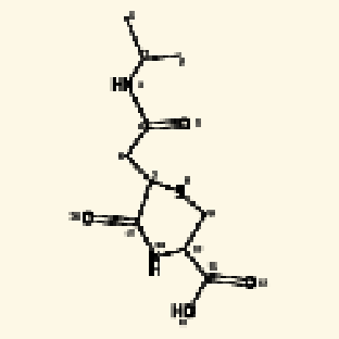 CC(C)NC(=O)CC1SCC(C(=O)O)NC1=O